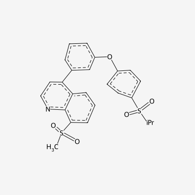 CC(C)S(=O)(=O)c1ccc(Oc2cccc(-c3ccnc4c(S(C)(=O)=O)cccc34)c2)cc1